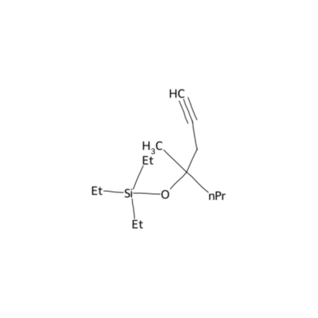 C#CCC(C)(CCC)O[Si](CC)(CC)CC